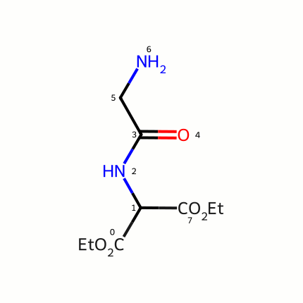 CCOC(=O)C(NC(=O)CN)C(=O)OCC